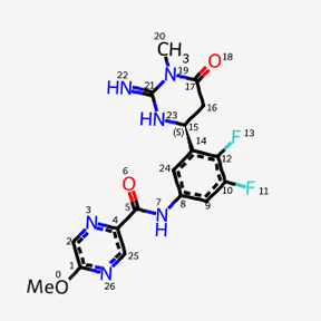 COc1cnc(C(=O)Nc2cc(F)c(F)c([C@@H]3CC(=O)N(C)C(=N)N3)c2)cn1